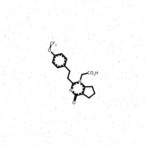 O=C(O)Cn1c(CCc2ccc(OC(F)(F)F)cc2)nc(=O)c2c1CCC2